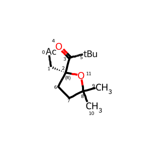 CC(=O)C[C@@]1(C(=O)C(C)(C)C)CCC(C)(C)O1